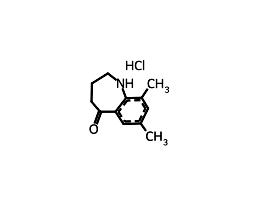 Cc1cc(C)c2c(c1)C(=O)CCCN2.Cl